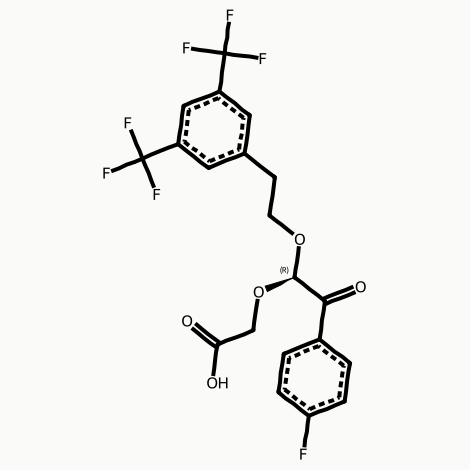 O=C(O)CO[C@@H](OCCc1cc(C(F)(F)F)cc(C(F)(F)F)c1)C(=O)c1ccc(F)cc1